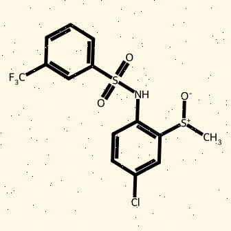 C[S+]([O-])c1cc(Cl)ccc1NS(=O)(=O)c1cccc(C(F)(F)F)c1